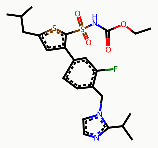 CCOC(=O)NS(=O)(=O)c1sc(CC(C)C)cc1-c1ccc(Cn2ccnc2C(C)C)c(F)c1